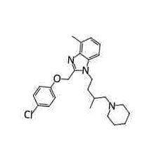 Cc1cccc2c1nc(COc1ccc(Cl)cc1)n2CCC(C)CN1CCCCC1